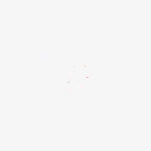 Cc1cc(-c2cc(C(F)(F)F)ccn2)ccc1C(C)[C@H]1O[C@H](COCc2ccccc2)[C@@H](OCc2ccccc2)[C@H](OCc2ccccc2)[C@@H]1OCc1ccccc1